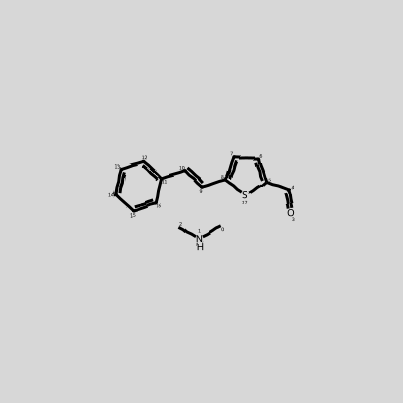 CNC.O=Cc1ccc(C=Cc2ccccc2)s1